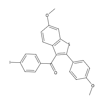 COc1ccc(-c2sc3cc(OC)ccc3c2C(=O)c2ccc(I)cc2)cc1